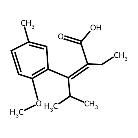 CCC(C(=O)O)=C(c1cc(C)ccc1OC)C(C)C